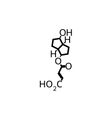 O=C(O)/C=C/C(=O)O[C@H]1CC[C@H]2[C@@H]1CC[C@H]2O